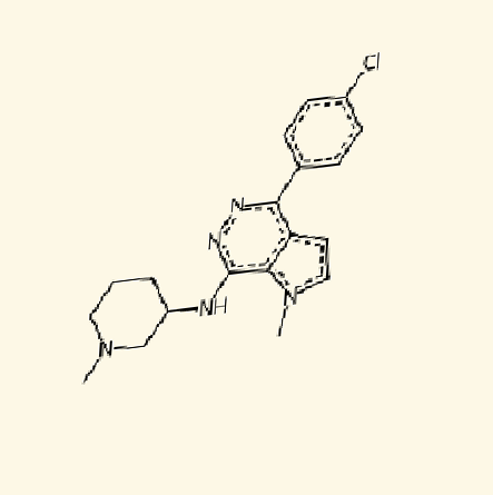 CN1CCC[C@@H](Nc2nnc(-c3ccc(Cl)cc3)c3ccn(C)c23)C1